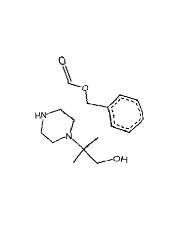 CC(C)(CO)N1CCNCC1.O=COCc1ccccc1